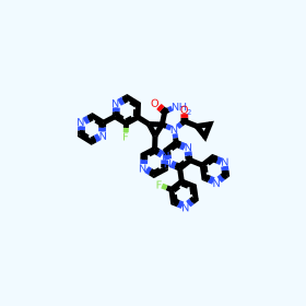 NC(=O)C1(N(C(=O)C2CC2)c2cnc(-c3ccncc3F)c(-c3cncnc3)n2)C(c2cnccn2)C1c1ccnc(-c2cnccn2)c1F